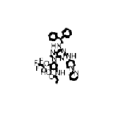 CCC(=O)N[C@H]1C[C@@H](n2cnc3c(NCC(c4ccccc4)c4ccccc4)nc(NC4CCN(c5ccccn5)CC4)nc32)[C@H](OC(=O)C(F)(F)F)[C@@H]1O